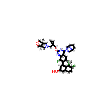 N#Cc1cc2c(N3CC4CCC(C3)N4)nc(OCC3(CN4C[C@H]5COC[C@H]5C4)CC3)nc2c(F)c1-c1cc(O)cc2ccc(F)c(F)c12